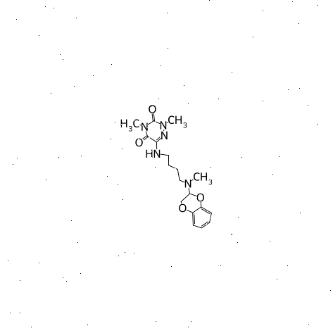 CN(CCCCNc1nn(C)c(=O)n(C)c1=O)C1COc2ccccc2O1